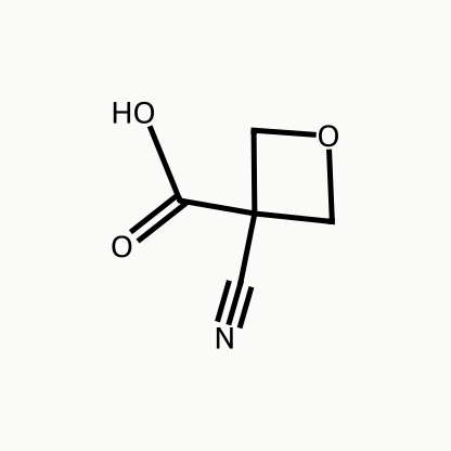 N#CC1(C(=O)O)COC1